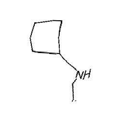 [CH2]NC1CCC1